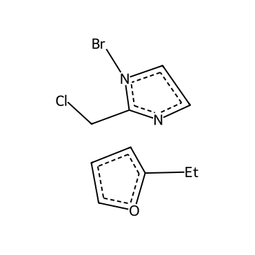 CCc1ccco1.ClCc1nccn1Br